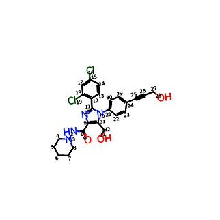 O=C(NN1CCCCC1)c1nc(-c2ccc(Cl)cc2Cl)n(-c2ccc(C#CCO)cc2)c1CO